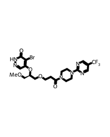 COC[C@H](COCCC(=O)N1CCN(c2ncc(C(F)(F)F)cn2)CC1)Oc1cn[nH]c(=O)c1Br